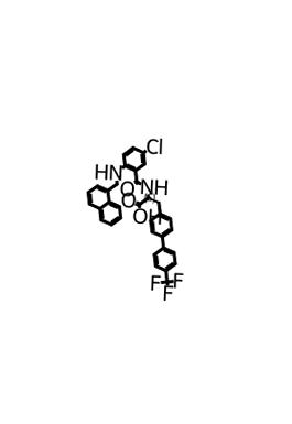 O=C(N[C@@H](Cc1ccc(-c2ccc(C(F)(F)F)cc2)cc1)C(=O)O)c1cc(Cl)ccc1NCc1cccc2ccccc12